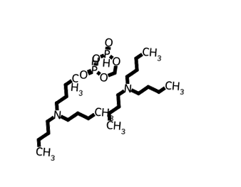 CCCCN(CCCC)CCCC.CCCCN(CCCC)CCCC.O=[PH]1OCO[PH](=O)O1